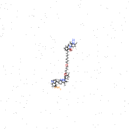 C=C1CCC(N2C(=C)c3cccc(CCCCCCCCCOCCCCCOc4cc(NC(=C)C(C)C5CCC(c6ccnc7c6C=C(P)CC7)CC5)ccc4C)c3C2=O)C(=C)N1